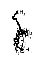 CCCCC/C=C\C/C=C\CCCCCCCCOC(C(C)OC(CCC)OC1CC[C@@]2(C)C(=CCC3C2CC[C@@]2(C)C3CC[C@@H]2[C@H](C)CCCC(C)C)C1)N(C)C